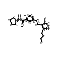 CCCCc1noc(C)c1COc1cc(C(=O)NN2CCCC2)[nH]n1